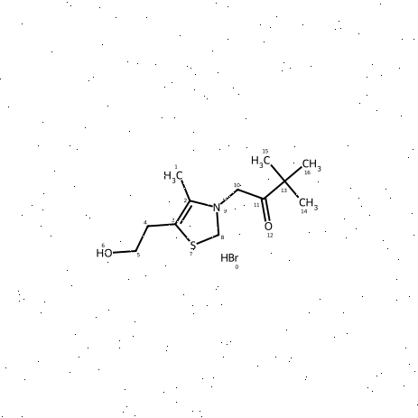 Br.CC1=C(CCO)SCN1CC(=O)C(C)(C)C